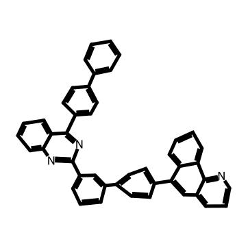 c1ccc(-c2ccc(-c3nc(-c4cccc(-c5ccc(-c6cc7cccnc7c7ccccc67)cc5)c4)nc4ccccc34)cc2)cc1